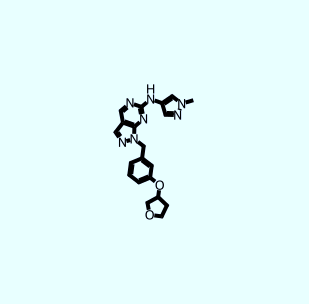 Cn1cc(Nc2ncc3cnn(Cc4cccc(OC5CCOC5)c4)c3n2)cn1